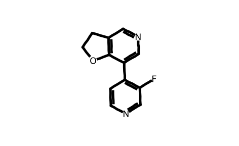 Fc1cnccc1-c1cncc2c1OCC2